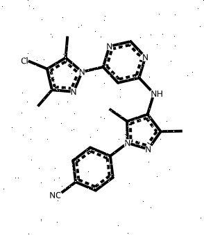 Cc1nn(-c2cc(Nc3c(C)nn(-c4ccc(C#N)cc4)c3C)ncn2)c(C)c1Cl